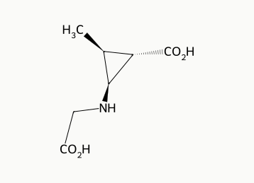 C[C@@H]1[C@H](NCC(=O)O)[C@H]1C(=O)O